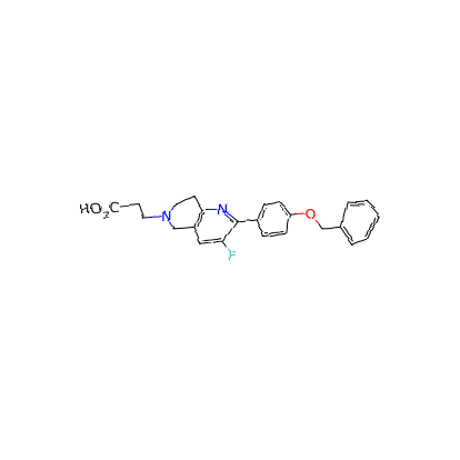 O=C(O)CCN1CCc2nc(-c3ccc(OCc4ccccc4)cc3)c(F)cc2C1